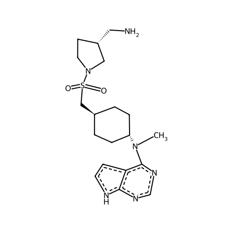 CN(c1ncnc2[nH]ccc12)[C@H]1CC[C@H](CS(=O)(=O)N2CC[C@H](CN)C2)CC1